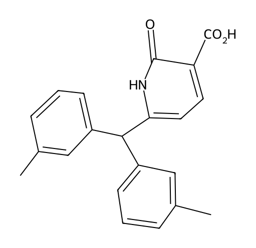 Cc1cccc(C(c2cccc(C)c2)c2ccc(C(=O)O)c(=O)[nH]2)c1